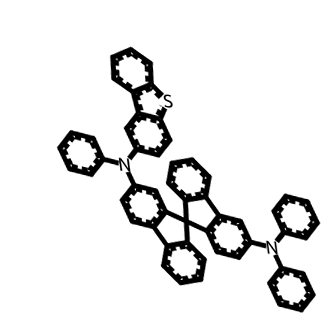 c1ccc(N(c2ccccc2)c2ccc3c(c2)-c2ccccc2C32c3ccccc3-c3ccc(N(c4ccccc4)c4ccc5sc6ccccc6c5c4)cc32)cc1